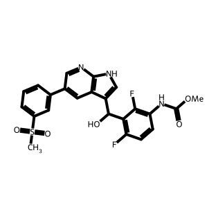 COC(=O)Nc1ccc(F)c(C(O)c2c[nH]c3ncc(-c4cccc(S(C)(=O)=O)c4)cc23)c1F